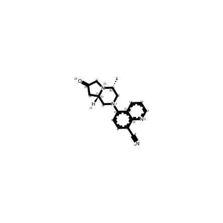 C[C@@H]1CN(c2ccc(C#N)c3ncccc23)C[C@@H]2CC(=O)CN21